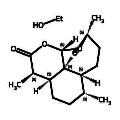 CCO.C[C@@H]1CC[C@H]2[C@@H](C)C(=O)O[C@@H]3O[C@]4(C)CC[C@@H]1[C@]32OO4